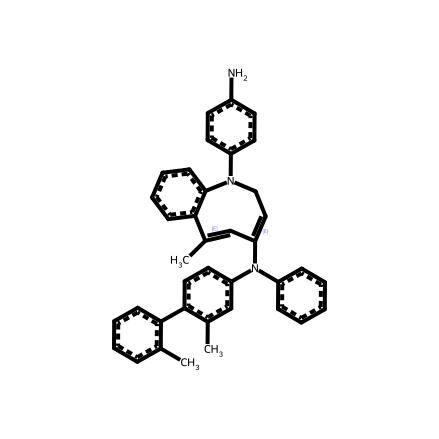 C/C1=C\C(N(c2ccccc2)c2ccc(-c3ccccc3C)c(C)c2)=C/CN(c2ccc(N)cc2)c2ccccc21